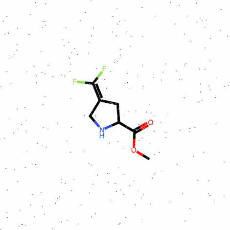 COC(=O)C1CC(=C(F)F)CN1